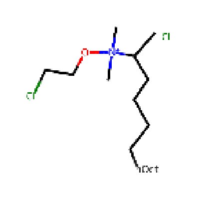 CCCCCCCCCCCCC(C)[N+](C)(C)OCCCl.[Cl-]